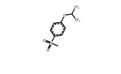 O=S(=O)(F)c1ccc(OC(C(F)(F)F)C(F)(F)F)cc1